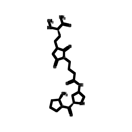 CN[C@@H](CCC1CC(=O)N(CCCC(=O)NC2CN[C@H](C(=O)N3CCC[C@H]3C)C2)C1=O)C(N)=O